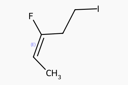 C/C=C(/F)CCI